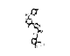 Cc1cnc(Nc2ccc(F)cc2)nc1-n1cnc(C(=O)NCc2cccc(Cl)c2CO)c1